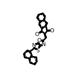 O=C1C(=Cc2nc3sc(-c4cccc5ccccc45)nc3o2)C(=O)c2cc3ccccc3cc21